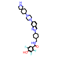 O=C(NCC1CCC(n2cc3ccc(N4CCN(C5CCC6(CCNC6)CC5)CC4)cc3n2)CC1)c1cc(F)c(O)c(F)c1F